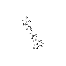 CCN(C)C(=O)NC1CC(CCN2CCN(c3cccc4sccc34)CC2)C1